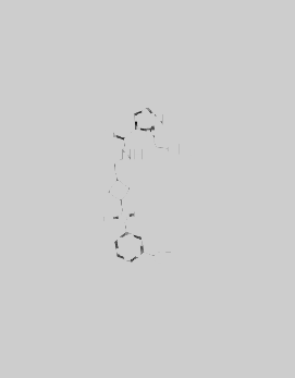 O=C(NCC1CC(S(=O)(=O)c2cccc(C(F)(F)F)c2)C1)c1ccnn1CC(F)(F)F